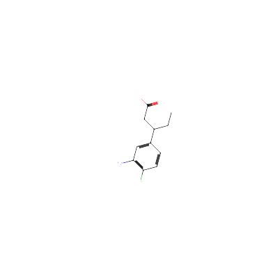 CCC(CC(=O)O)c1ccc(Cl)c(N)c1